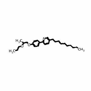 CCCCCCCCCCc1ccc(-c2ccc(OCC(C)OCCC)cc2)nc1